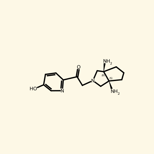 N[C@@]12CCC[C@]1(N)CN(CC(=O)c1ccc(O)cn1)C2